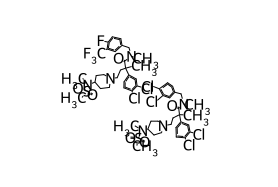 CN(Cc1ccc(Cl)c(Cl)c1)C(=O)C(C)(CCN1CCC(N(C)S(C)(=O)=O)CC1)c1ccc(Cl)c(Cl)c1.CN(Cc1ccc(F)c(C(F)(F)F)c1)C(=O)C(C)(CCN1CCC(N(C)S(C)(=O)=O)CC1)c1ccc(Cl)c(Cl)c1